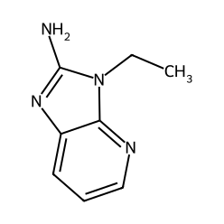 CCn1c(N)nc2cccnc21